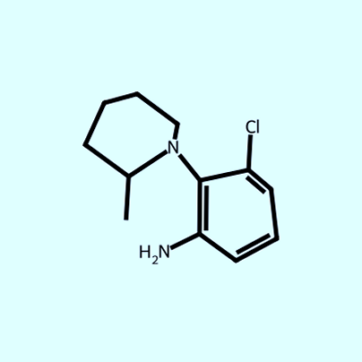 CC1CCCCN1c1c(N)cccc1Cl